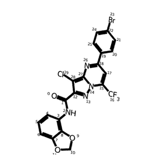 O=C(Nc1cccc2c1OCO2)c1nn2c(C(F)(F)F)cc(-c3ccc(Br)cc3)nc2c1Cl